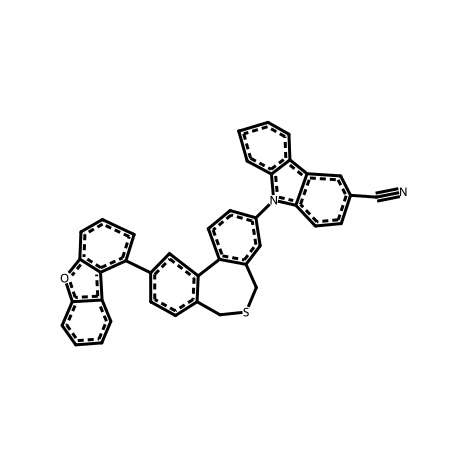 N#Cc1ccc2c(c1)c1ccccc1n2-c1ccc2c(c1)CSCc1ccc(-c3cccc4oc5ccccc5c34)cc1-2